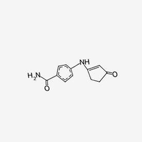 NC(=O)c1ccc(NC2=CC(=O)CC2)cc1